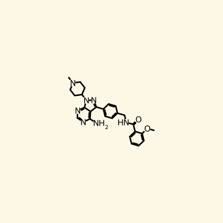 COc1ccccc1C(=O)NCc1ccc(-c2nn(C3CCN(C)CC3)c3ncnc(N)c23)cc1